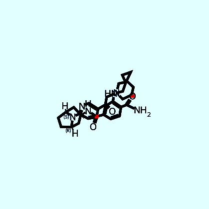 NC(=O)c1ccc(C(=O)N[C@H]2C[C@H]3CC[C@@H](C2)N3c2ccc(C(=O)CN3CCCCC3)cn2)cc1NCC1CC1